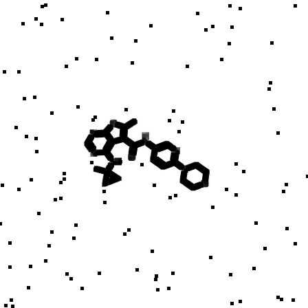 Cc1oc2ncnc(NC3(C)CC3)c2c1C(=O)Nc1ccc(N2CCOCC2)nc1